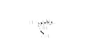 CN(C)C=O.COC.OCCO